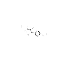 COC(C(=O)C(=O)O)c1ccc(O)cc1